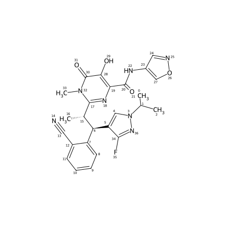 CC(C)n1cc([C@@H](c2ccccc2C#N)[C@H](C)c2nc(C(=O)Nc3cnoc3)c(O)c(=O)n2C)c(F)n1